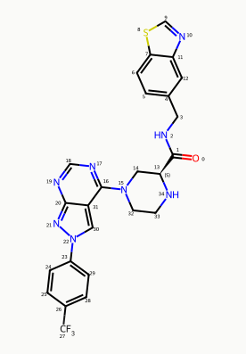 O=C(NCc1ccc2scnc2c1)[C@@H]1CN(c2ncnc3nn(-c4ccc(C(F)(F)F)cc4)cc23)CCN1